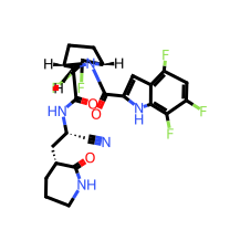 N#C[C@H](C[C@H]1CCCNC1=O)NC(=O)[C@@H]1[C@@H]2CC[C@@H](CC2(F)F)N1C(=O)c1cc2c(F)cc(F)c(F)c2[nH]1